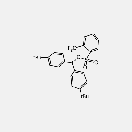 CC(C)(C)c1ccc([I+](OS(=O)(=O)c2ccccc2C(F)(F)F)c2ccc(C(C)(C)C)cc2)cc1